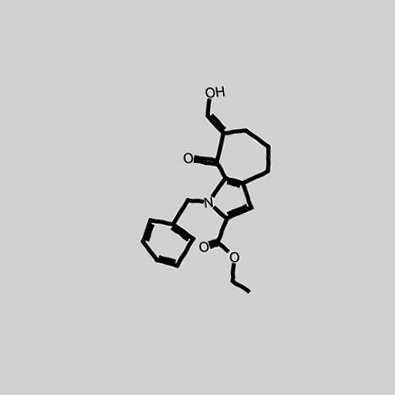 CCOC(=O)c1cc2c(n1Cc1ccccc1)C(=O)C(=CO)CCC2